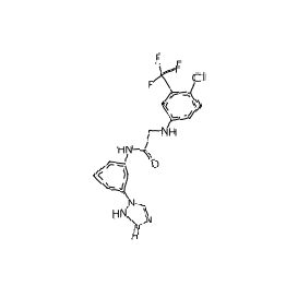 O=C(CNc1ccc(Cl)c(C(F)(F)F)c1)Nc1cccc(N2C=NNN2)c1